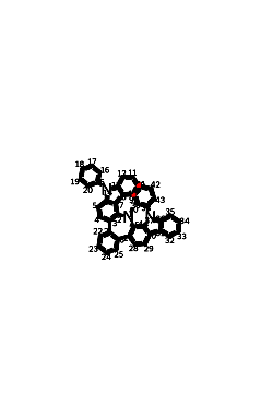 CN1c2c(ccc3c2c2ccccc2n3-c2ccccc2)-c2ccccc2-c2ccc3c4ccccc4n(-c4ccccc4)c3c21